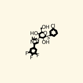 OC[C@H]1O[C@H](Sc2cccc(Cl)c2)[C@H](O)[C@@H](n2cc(-c3cc(F)c(F)c(F)c3)nn2)[C@H]1O